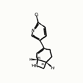 Clc1ccc(C2=C[C@H]3NC[C@H]3CC2)cn1